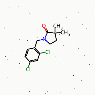 CC1(C)CCN(Cc2ccc(Cl)cc2Cl)C1=O